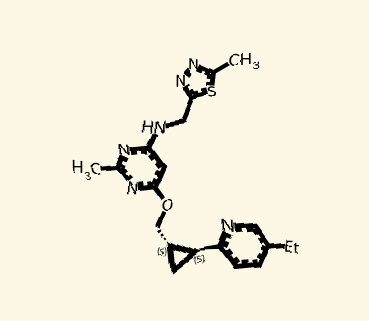 CCc1ccc([C@H]2C[C@@H]2COc2cc(NCc3nnc(C)s3)nc(C)n2)nc1